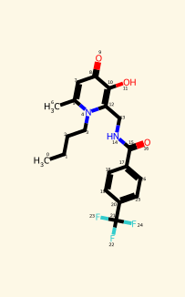 CCCCn1c(C)cc(=O)c(O)c1CNC(=O)c1ccc(C(F)(F)F)cc1